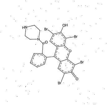 O=C(c1ccccc1-c1c2cc(Br)c(=O)c(Br)c-2oc2c(Br)c(O)c(Br)cc12)N1CCNCC1